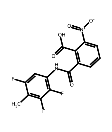 Cc1c(F)cc(NC(=O)c2cccc([N+](=O)[O-])c2C(=O)O)c(F)c1F